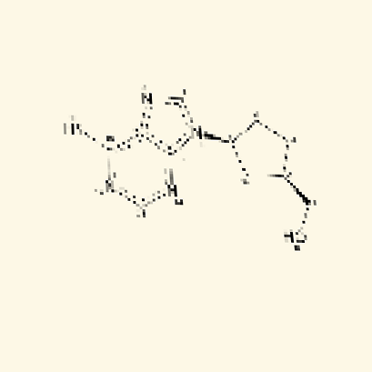 OC[C@@H]1CC[C@H](n2cnc3c(S)ncnc32)C1